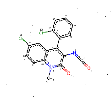 Cn1c(=O)c(N=C=O)c(-c2ccccc2Cl)c2cc(Cl)ccc21